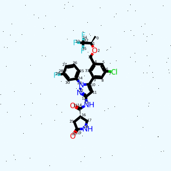 C[C@@H](OCc1cc(Cl)cc(-c2cc(NC(=O)[C@@H]3CNC(=O)C3)nn2-c2cccc(F)c2)c1)C(F)(F)F